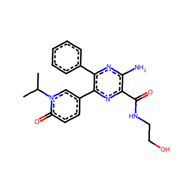 CC(C)n1cc(-c2nc(C(=O)NCCO)c(N)nc2-c2ccccc2)ccc1=O